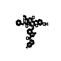 C=CCN1CC(=O)N2[C@@H](Cc3ccc(O)cc3)C(=O)N(Cc3cccc4c(C(=O)N5CCC6CN(C)CC65)cn(C)c34)C[C@@H]2N1C(=O)NCc1ccccc1